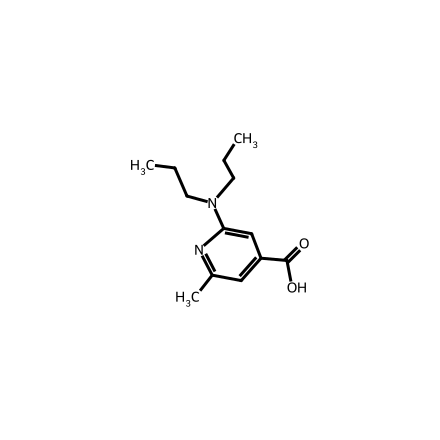 CCCN(CCC)c1cc(C(=O)O)cc(C)n1